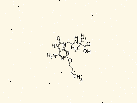 CCCCOc1nc(N)c2[nH]c(=O)n(CCNC(C)(C)C(=O)O)c2n1